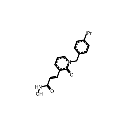 CC(C)c1ccc(Cn2cccc(/C=C/C(=O)NO)c2=O)cc1